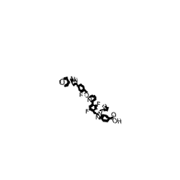 O=C(O)c1ccc2nc(Cc3cc(F)c(-c4cccc(OCc5ccc(-c6cn(C7CCOCC7)nn6)cc5F)n4)cc3F)n(C[C@@H]3CCO3)c2c1